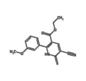 CCOC(=O)c1cc(C#N)c(=S)[nH]c1-c1cccc(OC)c1